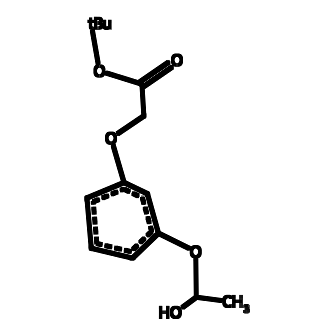 CC(O)Oc1cccc(OCC(=O)OC(C)(C)C)c1